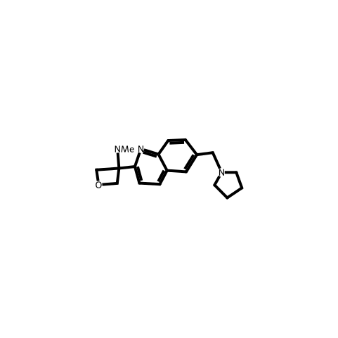 CNC1(c2ccc3cc(CN4CCCC4)ccc3n2)COC1